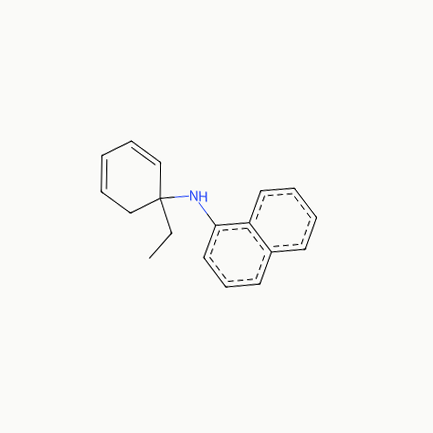 CCC1(Nc2cccc3ccccc23)C=CC=CC1